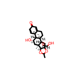 CC1O[C@@H]2C[C@H]3[C@@H]4CCC5=CC(=O)C=C[C@]5(C)[C@H]4[C@@H](O)C[C@]3(C)[C@]2(C(=O)CO)O1